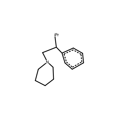 CC(C)C(CN1CCCCC1)c1ccccc1